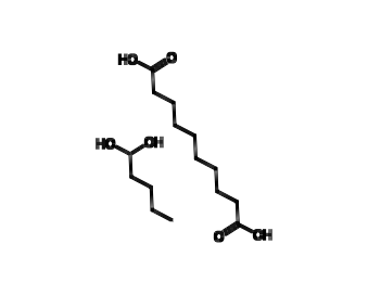 CCCCC(O)O.O=C(O)CCCCCCCCC(=O)O